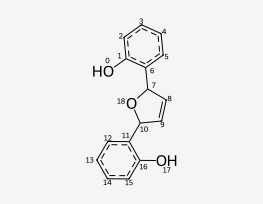 Oc1ccccc1C1C=CC(c2ccccc2O)O1